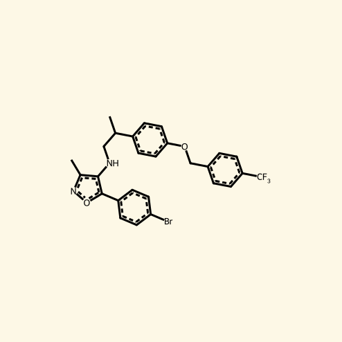 Cc1noc(-c2ccc(Br)cc2)c1NCC(C)c1ccc(OCc2ccc(C(F)(F)F)cc2)cc1